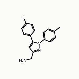 Cc1ccc(-n2nc(CN)cc2-c2ccc(F)cc2)cc1